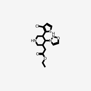 CCOC(=O)CC1CNCC(c2sccc2Cl)C1N1C=CON1